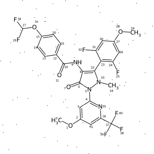 COc1cc(-n2c(=O)c(NC(=O)c3ccc(OC(F)F)cc3)c(-c3c(F)cc(OC)cc3F)n2C)nc(C(F)(F)F)c1